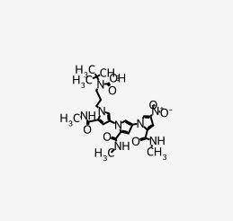 CNC(=O)c1cc(-n2cc(-n3cc([N+](=O)[O-])cc3C(=O)NC)cc2C(=O)NC)cn1CCCN(C(=O)O)C(C)(C)C